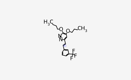 CCCCOc1cc(/C=C/c2cccc(C(F)(F)F)c2)nnc1OCCCC